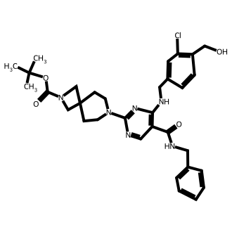 CC(C)(C)OC(=O)N1CC2(CCN(c3ncc(C(=O)NCc4ccccc4)c(NCc4ccc(CO)c(Cl)c4)n3)CC2)C1